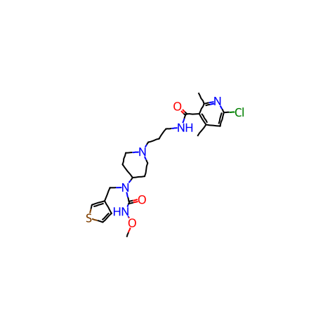 CONC(=O)N(Cc1ccsc1)C1CCN(CCCNC(=O)c2c(C)cc(Cl)nc2C)CC1